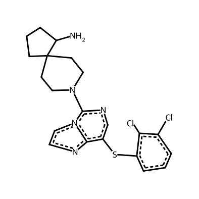 NC1CCCC12CCN(c1ncc(Sc3cccc(Cl)c3Cl)c3nccn13)CC2